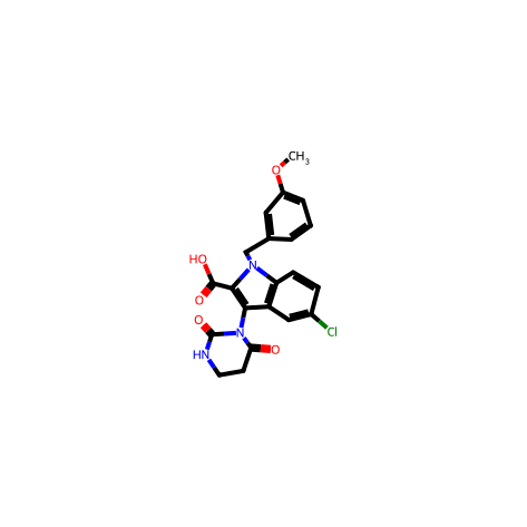 COc1cccc(Cn2c(C(=O)O)c(N3C(=O)CCNC3=O)c3cc(Cl)ccc32)c1